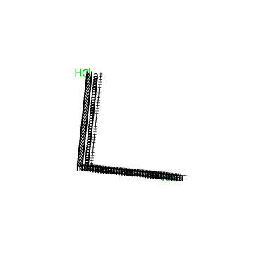 Cl.Cl.[Na+].[Na+].[Na+].[Na+].[Na+].[Na+].[Na+].[Na+].[Na+].[Na+].[Na+].[Na+].[Na+].[Na+].[Na+].[Na+].[Na+].[Na+].[Na+].[Na+].[Na+].[Na+].[Na+].[Na+].[Na+].[Na+].[Na+].[Na+].[Na+].[Na+].[Na+].[Na+].[Na+].[Na+].[Na+].[Na+].[Na+].[Na+].[Na+].[Na+].[Na+].[Na+].[Na+].[Na+].[Na+].[Na+].[Na+].[Na+].[Na+].[Na+].[Na+].[Na+].[Na+].[Na+].[Na+].[Na+].[Na+].[Na+].[Na+].[Na+].[Na+].[Na+].[Na+].[Na+].[Na+].[Na+].[Na+].[Na+].[Na+].[Na+].[Na+].[Na+]